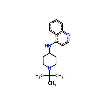 CC(C)(C)N1CCC(Nc2ccnc3ccccc23)CC1